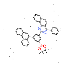 CC1(C)OB(c2cc(-c3nc(-c4ccccc4)c4ccc5ccccc5c4n3)cc(-c3cc4ccccc4c4ccccc34)c2)OC1(C)C